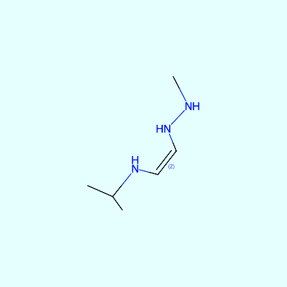 CNN/C=C\NC(C)C